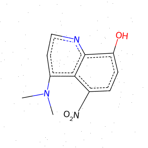 CN(C)c1ccnc2c(O)ccc([N+](=O)[O-])c12